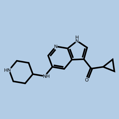 O=C(c1c[nH]c2ncc(NC3CCNCC3)cc12)C1CC1